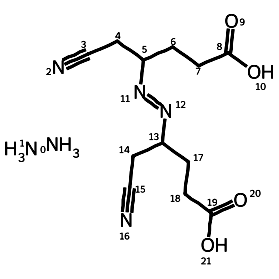 N.N.N#CCC(CCC(=O)O)N=NC(CC#N)CCC(=O)O